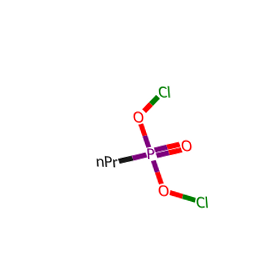 CCCP(=O)(OCl)OCl